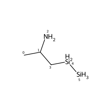 CC(N)C[SiH2][SiH3]